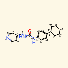 O=C(NCc1ccncc1)Nc1ccc(C2CCCCC2)cc1